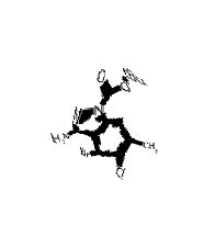 Cc1cc2c(c(N)nn2C(=O)OC(C)(C)C)c(Br)c1Cl